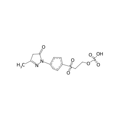 CC1=NN(c2ccc(S(=O)(=O)CCOS(=O)(=O)O)cc2)C(=O)C1